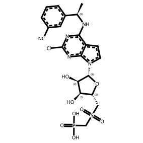 C[C@@H](Nc1nc(Cl)nc2c1ccn2[C@@H]1O[C@H](CS(=O)(=O)CP(=O)(O)O)[C@@H](O)[C@H]1O)c1cccc(C#N)c1